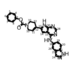 O=C(Oc1ccccc1)N1CC=C(c2cc3c(Nc4ccc5[nH]ncc5c4)ncnc3[nH]2)CC1